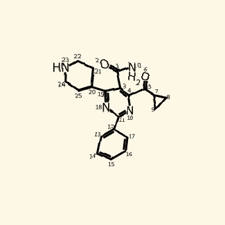 NC(=O)c1c(C(=O)C2CC2)nc(-c2ccccc2)nc1C1CCNCC1